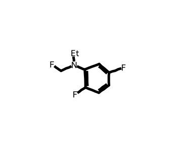 CCN(CF)c1cc(F)ccc1F